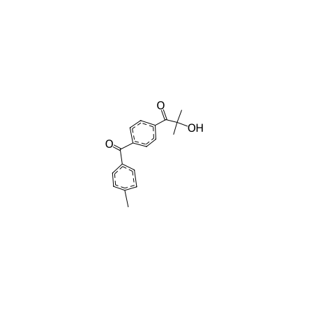 Cc1ccc(C(=O)c2ccc(C(=O)C(C)(C)O)cc2)cc1